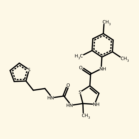 Cc1cc(C)c(NC(=O)C2=CNC(C)(NC(=O)NCCc3cccs3)S2)c(C)c1